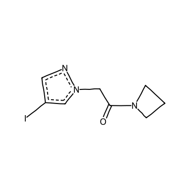 O=C(Cn1cc(I)cn1)N1CCC1